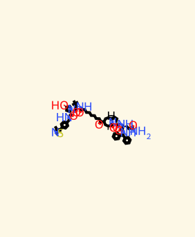 Cc1ncsc1-c1ccc(CNC(=O)[C@@H]2C[C@@H](O)CN2C(=O)[C@@H](NC(=O)CCCCCCCC(=O)C2CC[C@H]3CC[C@@H](C(=O)N[C@@H](CCC(N)=O)C(=O)NC(c4ccccc4)c4ccccc4)N3C(=O)[C@@H](C)C2)C(C)(C)C)cc1